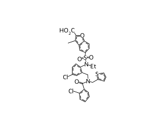 CCN(c1ccc(Cl)cc1CN(Cc1cccs1)C(=O)c1ccccc1Cl)S(=O)(=O)c1ccc2oc(C(=O)O)c(C)c2c1